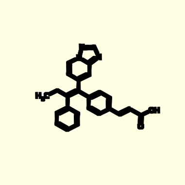 CC/C(=C(/c1ccc(/C=C/C(=O)O)cc1)c1ccn2ncnc2c1)c1ccccc1